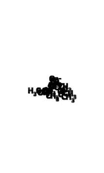 CCP(=O)(OCOC(=O)C(C)(C)C)c1cc(Oc2ccc(OC)cc2C)ccc1[N+](=O)[O-]